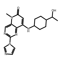 CC(O)C1CCC(Nc2cc(=O)n(C)c3cnc(-n4ccnc4)nc23)CC1